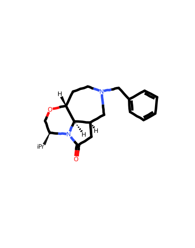 CC(C)[C@H]1CO[C@@H]2CCN(Cc3ccccc3)C[C@H]3CC(=O)N1[C@H]32